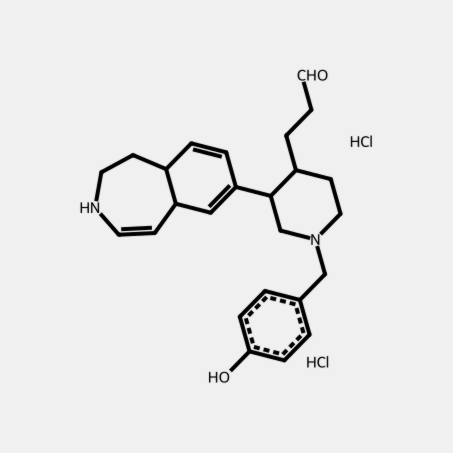 Cl.Cl.O=CCCC1CCN(Cc2ccc(O)cc2)CC1C1=CC2C=CNCCC2C=C1